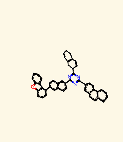 C1=CC2=C(C=CC(c3nc(-c4ccc5cc(-c6cccc7oc8ccccc8c67)ccc5c4)nc(-c4ccc5c(ccc6ccccc65)c4)n3)C2)CC1